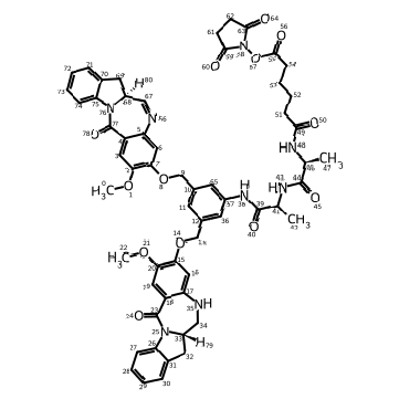 COc1cc2c(cc1OCc1cc(COc3cc4c(cc3OC)C(=O)N3c5ccccc5C[C@H]3CN4)cc(NC(=O)C(C)NC(=O)[C@H](C)NC(=O)CCCCC(=O)ON3C(=O)CCC3=O)c1)N=C[C@@H]1Cc3ccccc3N1C2=O